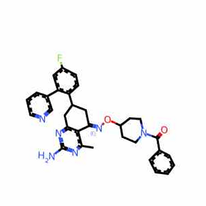 Cc1nc(N)nc2c1/C(=N/OC1CCN(C(=O)c3ccccc3)CC1)CC(c1ccc(F)cc1-c1cccnc1)C2